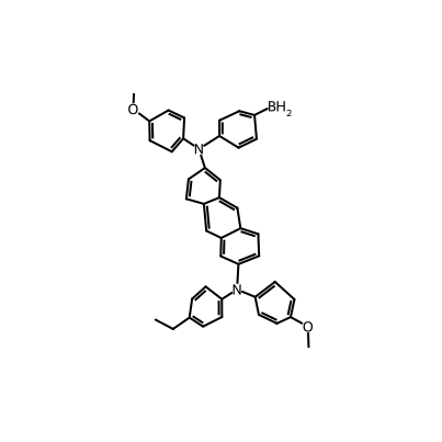 Bc1ccc(N(c2ccc(OC)cc2)c2ccc3cc4cc(N(c5ccc(CC)cc5)c5ccc(OC)cc5)ccc4cc3c2)cc1